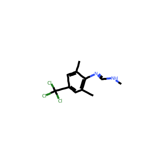 CNC=Nc1c(C)cc(C(Cl)(Cl)Cl)cc1C